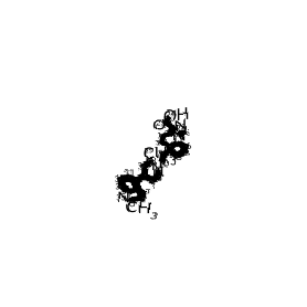 Cc1ccc2c(C3CCN(CCc4cccc5c4CCc4c(C(=O)O)ncn4-5)C(C)C3)cccc2n1